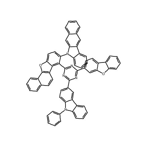 c1ccc(-n2c3ccccc3c3cc(-c4nc(-c5ccc6c(c5)oc5ccccc56)nc(-c5c(-n6c7ccccc7c7cc8ccccc8cc76)ccc6oc7c8ccccc8ccc7c56)n4)ccc32)cc1